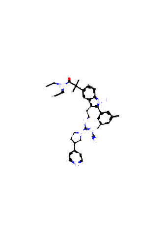 CCN(CC)C(=O)C(C)(C)c1ccc2[nH]c(-c3cc(C)cc(C)c3)c(CCN/C(=N/C#N)N3CCC(c4ccncc4)C3)c2c1